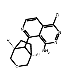 Nc1nnc(Cl)c2ccnc(C3[C@@H]4CC[C@H]3COC4)c12